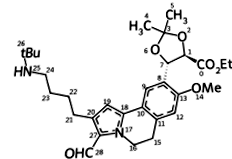 CCOC(=O)[C@@H]1OC(C)(C)O[C@H]1c1cc2c(cc1OC)CCn1c-2cc(CCCCNC(C)(C)C)c1C=O